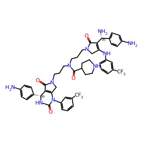 Nc1ccc([C@@H](N)C2=C(Nc3cccc(C(F)(F)F)c3)CN(CCCN(CCCN3CC4=C(C3=O)[C@@H](c3ccc(N)cc3)NC(=O)N4c3cccc(C(F)(F)F)c3)C(=O)C3CCNCC3)C2=O)cc1